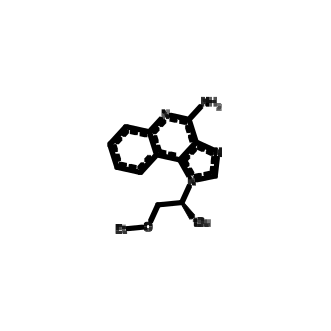 CCOC[C@@H](n1cnc2c(N)nc3ccccc3c21)C(C)(C)C